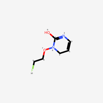 OC1=NC=CCN1OCCF